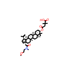 C=C(C)[C@@H]1CC[C@]2(CC(=O)N(C)CCOC)CC[C@]3(C)[C@H](CC[C@@H]4[C@@]5(C)CC[C@H](OC(=O)CC(C)(C)C(=O)O)C(C)(C)[C@@H]5CC[C@]43C)[C@@H]12